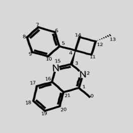 Cc1nc([C@]2(c3ccccc3)C[C@@H](C)C2)nc2ccccc12